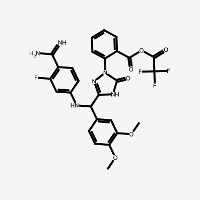 COc1ccc(C(Nc2ccc(C(=N)N)c(F)c2)c2nn(-c3ccccc3C(=O)OC(=O)C(F)(F)F)c(=O)[nH]2)cc1OC